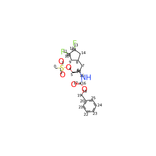 CS(=O)(=O)OC[C@@H](CC1C[C@@H](F)[C@@H](F)C1)NC(=O)OCc1ccccc1